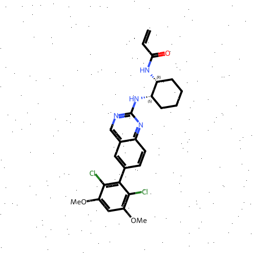 C=CC(=O)N[C@@H]1CCCC[C@@H]1Nc1ncc2cc(-c3c(Cl)c(OC)cc(OC)c3Cl)ccc2n1